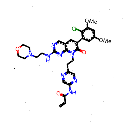 C=CC(=O)Nc1cnc(CCn2c(=O)c(-c3cc(OC)cc(OC)c3Cl)cc3cnc(NCCN4CCOCC4)nc32)cn1